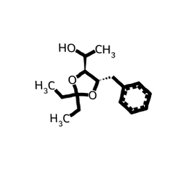 CCC1(CC)O[C@@H](Cc2ccccc2)[C@H](C(C)O)O1